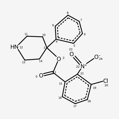 O=C(OC1(c2ccccc2)CCNCC1)c1cccc(Cl)c1[N+](=O)[O-]